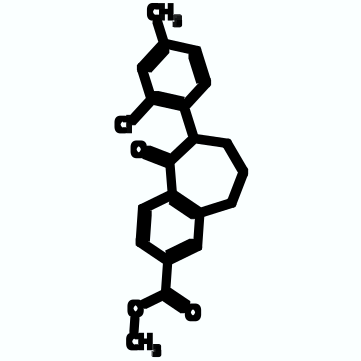 COC(=O)c1ccc2c(c1)CCCC(c1ccc(C)cc1Cl)C2=O